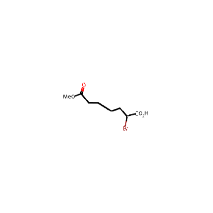 COC(=O)CCCCC(Br)C(=O)O